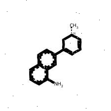 C[C@@H]1C=CC=C(c2ccc3cccc(N)c3c2)C1